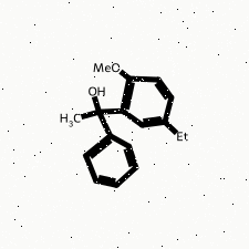 CCc1ccc(OC)c(C(C)(O)c2ccccc2)c1